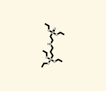 CCO[Si](CCCNCCP(=O)(OCC)OCC)(OCC)OCC